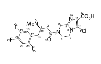 CN[C@@H](CC(=O)N1CCn2c(nc(C(=O)O)c2Cl)C1)Cc1cc(F)c(F)cc1F